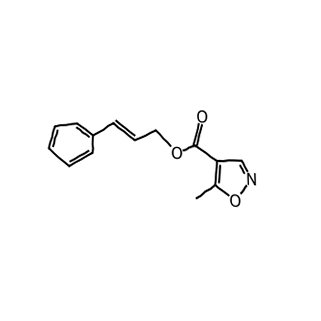 Cc1oncc1C(=O)OC/C=C/c1ccccc1